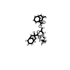 CC1CC2CCCC(C(=O)OCC(CNSC(F)(F)F)OC(=O)C3(C)CC4CCCC(C4)C3)(C1)C2